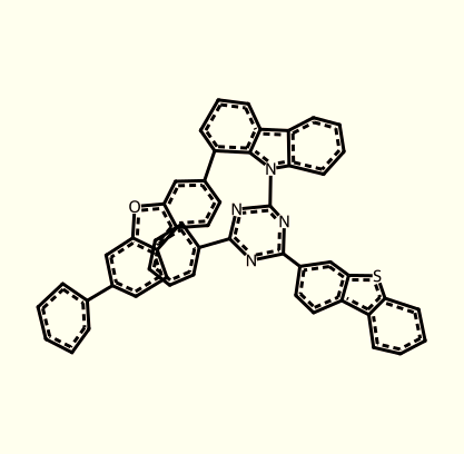 c1ccc(-c2ccc3c(c2)oc2cc(-c4cccc5c6ccccc6n(-c6nc(-c7ccccc7)nc(-c7ccc8c(c7)sc7ccccc78)n6)c45)ccc23)cc1